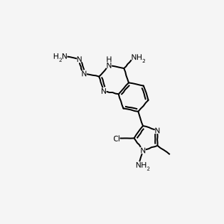 Cc1nc(-c2ccc3c(c2)N=C(N=NN)NC3N)c(Cl)n1N